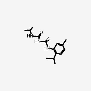 Cc1ccc(C(C)C)c(NC(=S)NC(=O)NC(C)C)c1